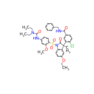 CCOc1ccc2c(c1)C(C)(c1cc(C(=O)NCc3ccccc3)ccc1Cl)C(=O)N2S(=O)(=O)c1ccc(NC(=O)N(CC)CC)cc1OC